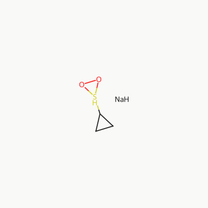 C1CC1[SH]1OO1.[NaH]